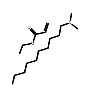 C=CC(=O)OCC.CCCCCCCCCCN(C)C